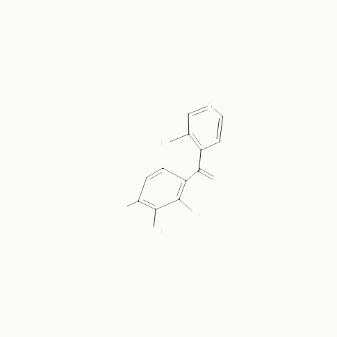 O=C(c1ccncc1O)c1ccc(O)c(O)c1O